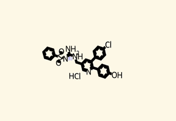 Cl.N/C(=N\S(=O)(=O)c1ccccc1)NCc1cnc(-c2ccc(O)cc2)c(-c2ccc(Cl)cc2)c1